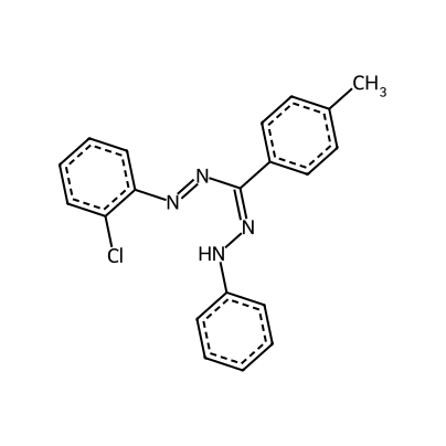 Cc1ccc(C(=N/Nc2ccccc2)/N=N/c2ccccc2Cl)cc1